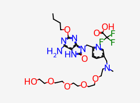 CCCCOc1nc(N)c2[nH]c(=O)n(Cc3ccc(CN(C)CCOCCOCCOCCOCCO)cn3)c2n1.O=C(O)C(F)(F)F